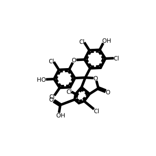 O=C(O)c1cc(Cl)c2c(c1Cl)C1(OC2=O)c2cc(Cl)c(O)c(Cl)c2Oc2c1cc(Cl)c(O)c2Cl